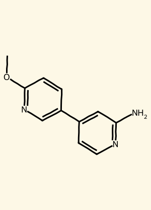 COc1ccc(-c2ccnc(N)c2)cn1